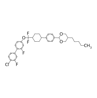 CCCCCC1COC(c2ccc(C3CCC(C(F)(F)Oc4ccc(-c5ccc(Cl)c(F)c5)c(F)c4)CC3)cc2)OC1